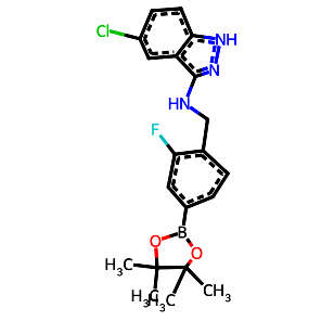 CC1(C)OB(c2ccc(CNc3n[nH]c4ccc(Cl)cc34)c(F)c2)OC1(C)C